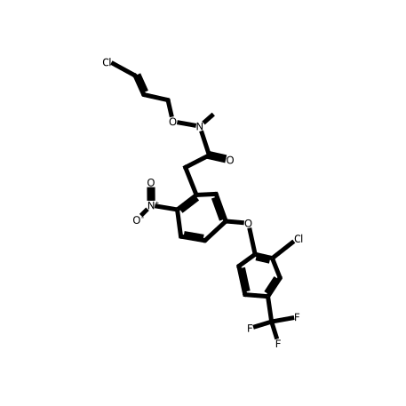 CN(OCC=CCl)C(=O)Cc1cc(Oc2ccc(C(F)(F)F)cc2Cl)ccc1[N+](=O)[O-]